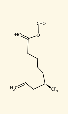 [CH]=C(CCCC[C@H](CC=C)C(F)(F)F)OC=O